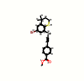 COC(=O)c1ccc(C#C[Se]c2cc(Br)cc3c2SCCC3(C)C)cc1